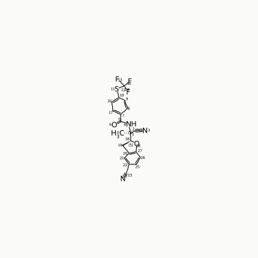 C[C@@](C#N)(NC(=O)c1ccc(SC(F)(F)F)cc1)[C@@H]1Cc2cc(C#N)ccc2O1